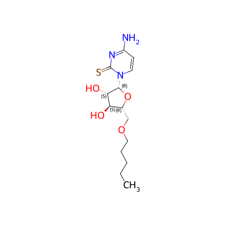 CCCCCOC[C@H]1O[C@@H](n2ccc(N)nc2=S)[C@@H](O)[C@@H]1O